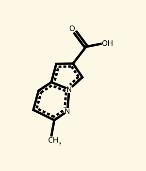 Cc1ccc2cc(C(=O)O)cn2n1